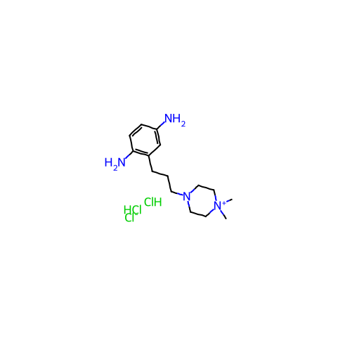 C[N+]1(C)CCN(CCCc2cc(N)ccc2N)CC1.Cl.Cl.[Cl-]